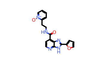 O=C(NCCc1cccc[n+]1[O-])c1ccnc2[nH]c(-c3ccco3)nc12